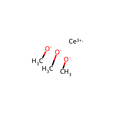 C[O-].C[O-].C[O-].[Ce+3]